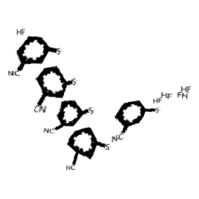 F.F.F.F.F.N#Cc1cccc([S])c1.N#Cc1cccc([S])c1.N#Cc1cccc([S])c1.N#Cc1cccc([S])c1.N#Cc1cccc([S])c1